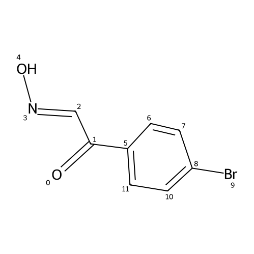 O=C(/C=N/O)c1ccc(Br)cc1